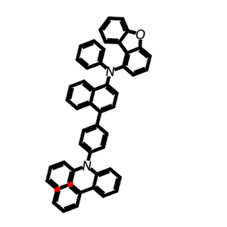 c1ccc(-c2ccccc2N(c2ccccc2)c2ccc(-c3ccc(N(c4ccccc4)c4cccc5oc6ccccc6c45)c4ccccc34)cc2)cc1